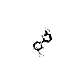 Cc1cccc(N2CCN[C@H](C)C2)n1